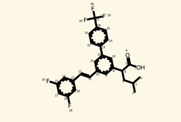 CC(C)CC(C(=O)O)c1cc(C=Cc2cc(F)cc(F)c2)cc(-c2ccc(C(F)(F)F)cc2)c1